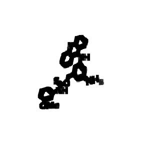 COc1cccc(NC(=S)OCc2cc(N)cc(Nc3c4ccccc4nc4ccccc34)c2)c1